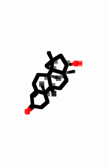 C[C@@]12C[C@H](O)[C@@]3(C)CC[C@H]4[C@@H](CCC5=CC(=O)CC[C@@H]54)[C@@]13C2